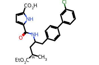 CCOC(=O)[C@H](C)CC(Cc1ccc(-c2cccc(Cl)c2)cc1)NC(=O)c1ccc(C(=O)O)[nH]1